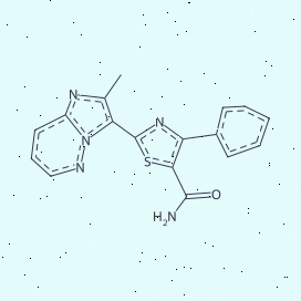 Cc1nc2cccnn2c1-c1nc(-c2ccccc2)c(C(N)=O)s1